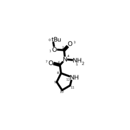 CC(C)(C)OC(=O)N(N)C(=O)C1CCCN1